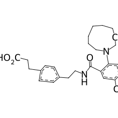 O=C(O)CCc1ccc(CCNC(=O)c2cc(Cl)ccc2N2CCCCCCCC2)cc1